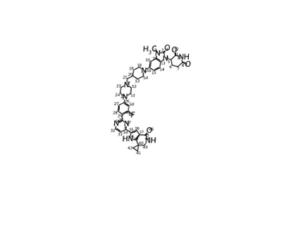 Cn1c(=O)n(C2CCC(=O)NC2=O)c2ccc(N3CCC(CN4CCN(c5ccc(-c6nccc(-c7cc8c([nH]7)C7(CC7)CNC8=O)n6)c(F)c5)CC4)CC3)cc21